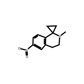 CN1CCc2cc([N+](=O)[O-])ccc2C12CC2